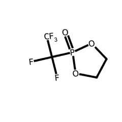 O=P1(C(F)(F)C(F)(F)F)OCCO1